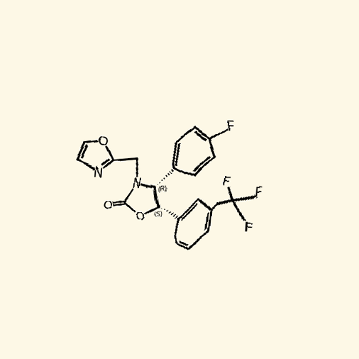 O=C1O[C@@H](c2cccc(C(F)(F)F)c2)[C@@H](c2ccc(F)cc2)N1Cc1ncco1